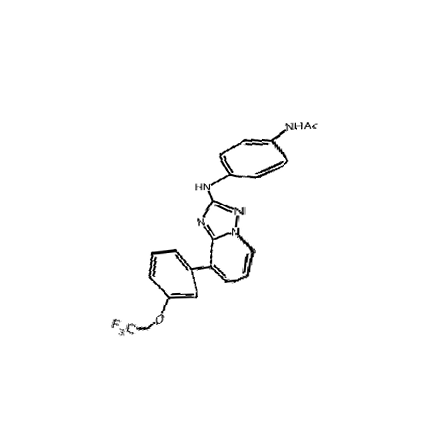 CC(=O)Nc1ccc(Nc2nc3c(-c4cccc(OC(F)(F)F)c4)cccn3n2)cc1